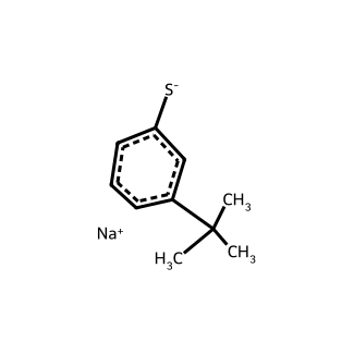 CC(C)(C)c1cccc([S-])c1.[Na+]